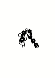 O=C1CCC(N2Cc3cc(O[C@H]4CCN(Cc5cc(-c6ccc(C7CCOCC7)cc6)ccn5)C4)ccc3C2=O)C(=O)N1